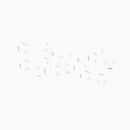 Cc1ccccc1-c1cccc(-c2cccc(N(c3ccc(C(C)C)cc3)c3cc(C4CCCC4)c4ccc5c(N(c6ccc(C(C)C)cc6)c6cccc7c6oc6c(-c8ccccc8C)cccc67)cc(C6CCCC6)c6ccc3c4c65)c2O)c1